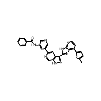 Cc1ccc(-c2ccnc3[nH]c(-c4n[nH]c5cnc(-c6cncc(NC(=O)c7ccccc7)c6)cc45)nc23)s1